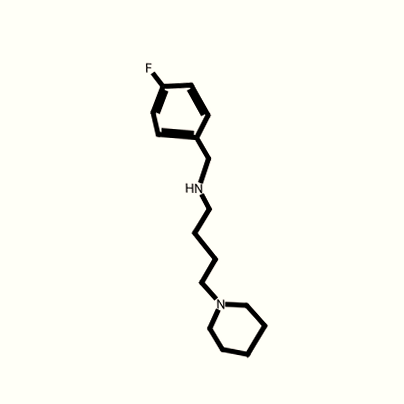 Fc1ccc(CNCCCCN2CC[CH]CC2)cc1